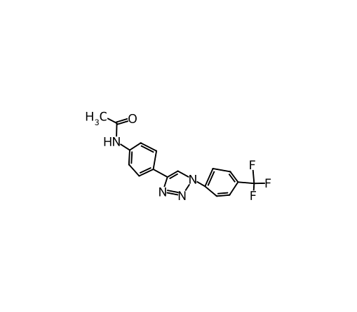 CC(=O)Nc1ccc(-c2cn(-c3ccc(C(F)(F)F)cc3)nn2)cc1